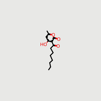 CCCCCCCC(=O)c1c(O)cc(C)oc1=O